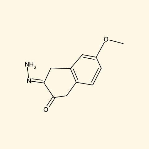 COc1ccc2c(c1)CC(=NN)C(=O)C2